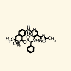 Cc1nc(-c2cnc(Nc3ccc4c(c3)C(=O)NC(C)(C)C4)nc2N[C@H](CO)c2ccccc2)no1